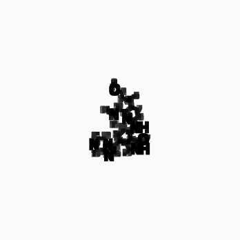 COCC[C@@H](C)c1ccc(Nc2ccc(-c3cnc4cnccn34)c3c2C(=O)NC3)nc1CN(C)C